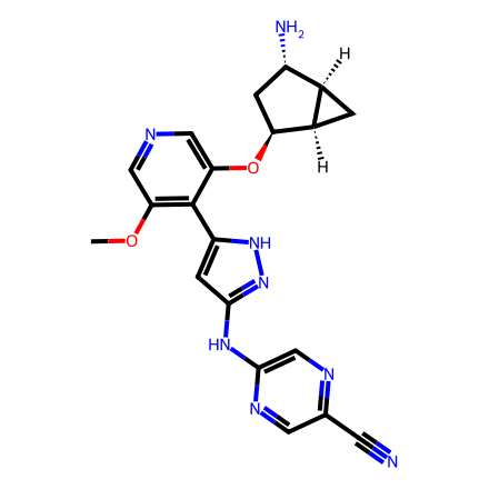 COc1cncc(O[C@H]2C[C@H](N)[C@H]3C[C@H]32)c1-c1cc(Nc2cnc(C#N)cn2)n[nH]1